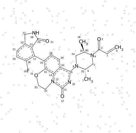 C=CC(=O)N1C[C@H](C)N(c2nc(=O)n3c4c(c(-c5c(F)ccc6c5C(=O)NC6)ccc24)OCC3)C[C@H]1C